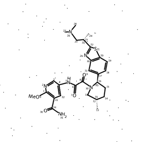 COc1ncc(NC(=O)C(=O)N2C[C@@H](C)CC[C@@H]2c2ccc3sc([C@@H](C)CN(C)C)nc3c2)cc1C(N)=O